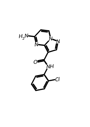 Nc1ccn2ncc(C(=O)Nc3ccccc3Cl)c2n1